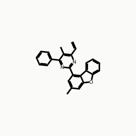 C=Cc1nc(-c2cc(C)cc3oc4ccccc4c23)nc(-c2ccccc2)c1C